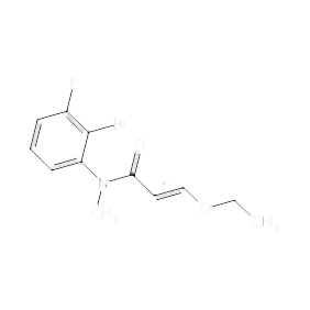 CCO/C=C/C(=O)N(C)c1cccc(F)c1Br